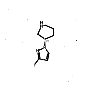 Ic1ccn([C@@H]2CCCNC2)n1